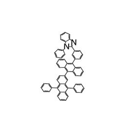 c1ccc(-c2c3ccccc3c(-c3ccccc3)c3cc(-c4c5ccccc5c(-c5cccc(-c6nc7ccccc7n6-c6ccccc6)c5)c5ccccc45)ccc23)cc1